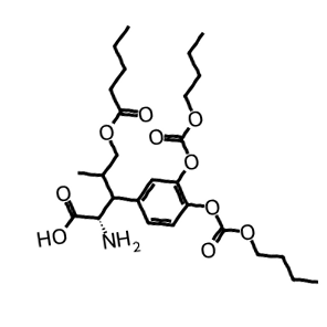 CCCCOC(=O)Oc1ccc(C(C(C)COC(=O)CCCC)[C@H](N)C(=O)O)cc1OC(=O)OCCCC